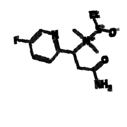 CC[S+]([O-])[N+](C)(C)C(CC(N)=O)c1ccc(F)cn1